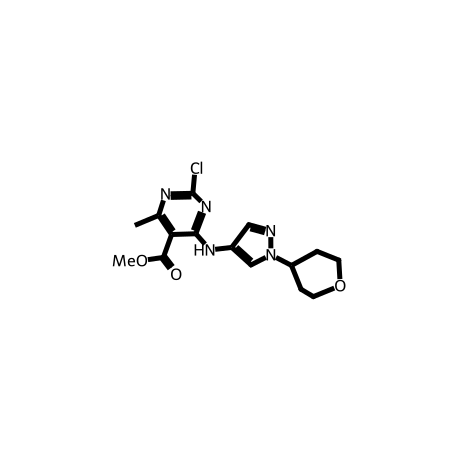 COC(=O)c1c(C)nc(Cl)nc1Nc1cnn(C2CCOCC2)c1